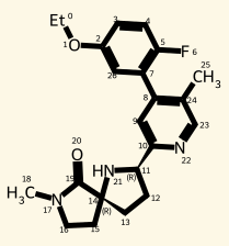 CCOc1ccc(F)c(-c2cc([C@H]3CC[C@]4(CCN(C)C4=O)N3)ncc2C)c1